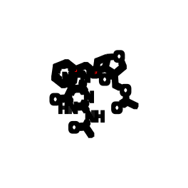 CC(=O)Nc1nc2c(ncn2C2CC3OCC(COC(C)=O)(O2)C3OCc2ccccc2)c(=O)[nH]1